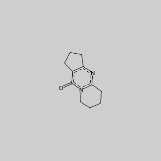 O=c1c2c(nc3n1CCCC3)CCC2